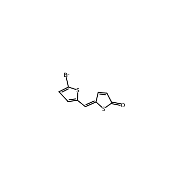 O=C1C=CC(=Cc2ccc(Br)s2)S1